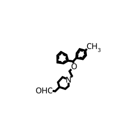 Cc1ccc(C(OCCN2CCC(CC=O)CC2)c2ccccc2)cc1